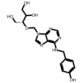 OCC(O)[C@@H](CO)OCn1cnc2c(NCc3ccc(O)cc3)ncnc21